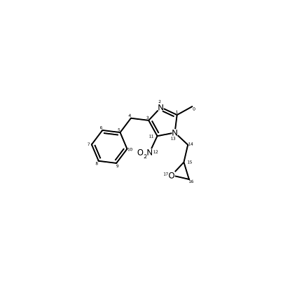 Cc1nc(Cc2ccccc2)c([N+](=O)[O-])n1CC1CO1